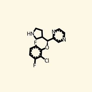 Fc1ccc(F)c(O[C@H](c2cnccn2)C2CCNC2)c1Cl